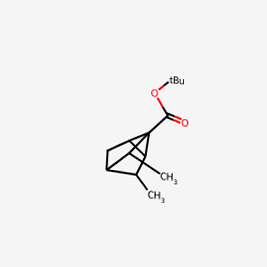 CC1C2CC3C1C3(C(=O)OC(C)(C)C)C2C